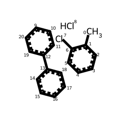 Cc1ccccc1Cl.Cl.c1ccc(-c2ccccc2)cc1